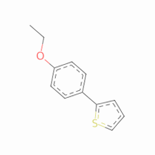 CCOc1ccc(-c2cccs2)cc1